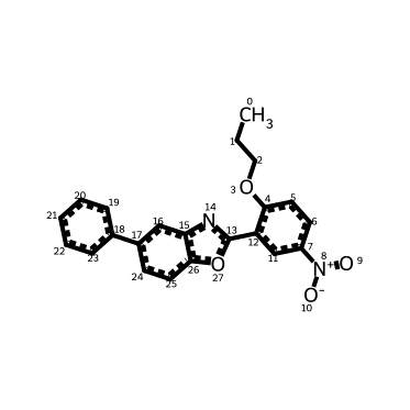 CCCOc1ccc([N+](=O)[O-])cc1-c1nc2cc(-c3ccccc3)ccc2o1